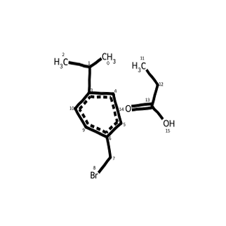 CC(C)c1ccc(CBr)cc1.CCC(=O)O